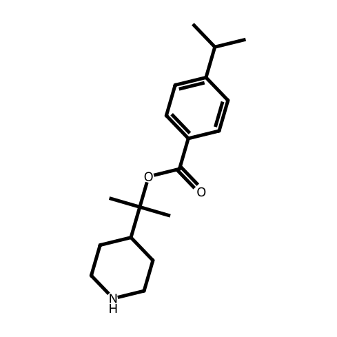 CC(C)c1ccc(C(=O)OC(C)(C)C2CCNCC2)cc1